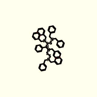 c1ccc(CN(Cc2ccccc2)SSN(Cc2ccccc2)C(c2ccccc2)[SH](SN(Cc2ccccc2)Cc2ccccc2)N(Cc2ccccc2)Cc2ccccc2)cc1